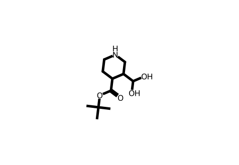 CC(C)(C)OC(=O)C1CCNCC1C(O)O